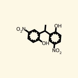 CC(c1cc([N+](=O)[O-])ccc1O)c1cc([N+](=O)[O-])ccc1O